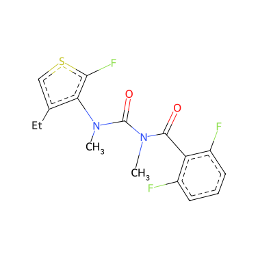 CCc1csc(F)c1N(C)C(=O)N(C)C(=O)c1c(F)cccc1F